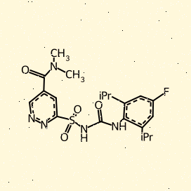 CC(C)c1cc(F)cc(C(C)C)c1NC(=O)NS(=O)(=O)c1cc(C(=O)N(C)C)cnn1